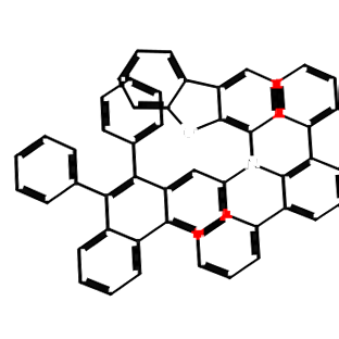 c1ccc(-c2cccc(-c3ccccc3)c2N(c2ccc3c(c2)c(-c2ccccc2)c(-c2ccccc2)c2ccccc23)c2cccc3c2oc2ccccc23)cc1